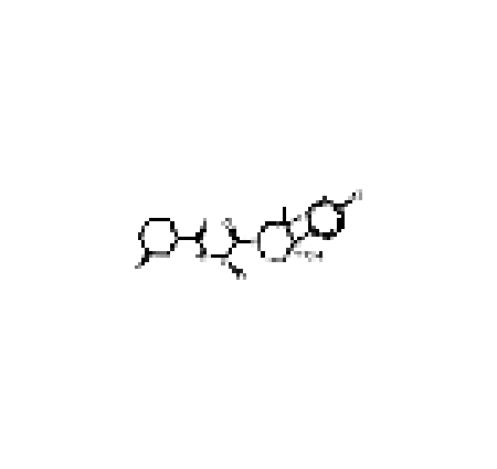 CC(C)[C@@H](NC(=O)C1CCCC(=O)C1)C(=O)N1CC[C@](O)(c2ccc(Cl)cc2)C(C)(C)C1